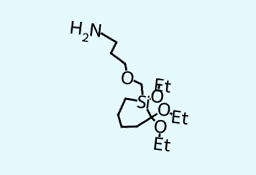 CCOC1(OCC)CCCC[Si]1(COCCCN)OCC